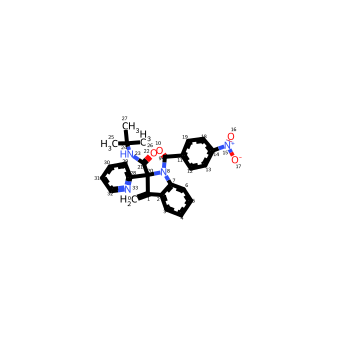 C=C1c2ccccc2N(C(=O)c2ccc([N+](=O)[O-])cc2)C1(C(=O)NC(C)(C)C)c1ccccn1